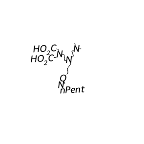 CCCCCN=COCCCN(CCN(C)C)CCN(CC(=O)O)CC(=O)O